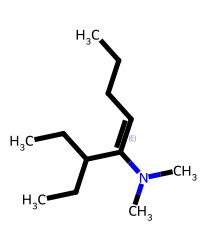 CCC/C=C(\C(CC)CC)N(C)C